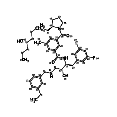 CCCCCCC.CCc1cccc(CNC[C@@H](O)[C@H](Cc2cc(F)cc(F)c2)NC(=O)c2cc(C)cc(C(=O)N3CCC[C@@H]3CC)c2)c1.Cl